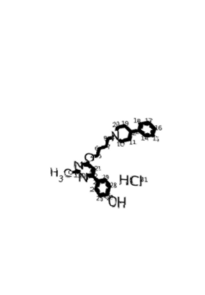 Cc1nc(OCCCCN2CCC(c3ccccc3)CC2)cc(-c2ccc(O)cc2)n1.Cl